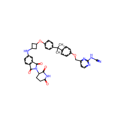 CC(C)(c1ccc(OCc2ccnc(NC#N)n2)cc1)c1ccc(OC2CC(Nc3ccc4c(c3)C(=O)N(C3CCC(=O)NC3=O)C4=O)C2)cc1